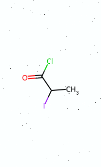 CC(I)C(=O)Cl